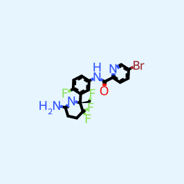 NC1=N[C@](CF)(c2cc(NC(=O)c3ccc(Br)cn3)ccc2F)C(F)(F)CC1